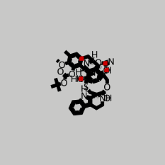 COc1c(C)cc2c(c1OC(=O)OC(C)(C)C)[C@@H]1C3[C@@H]4SC[C@]5(NCCc6c5[nH]c5ccccc65)C(=O)OC[C@@H](c5c6c(c(C)c(O)c54)OCO6)N3[C@@H](C#N)[C@H](C2)N1C